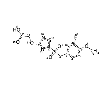 COc1ccc(CS(=O)(=O)c2nc(OCC(=O)O)ns2)cc1F